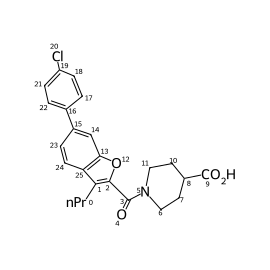 CCCc1c(C(=O)N2CCC(C(=O)O)CC2)oc2cc(-c3ccc(Cl)cc3)ccc12